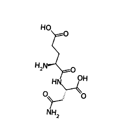 NC(=O)C[C@H](NC(=O)[C@@H](N)CCC(=O)O)C(=O)O